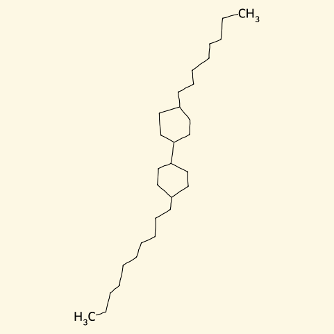 CCCCCCCCCCC1CCC(C2CCC(CCCCCCCC)CC2)CC1